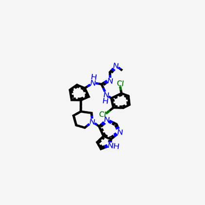 C/N=C\N=C(/Nc1cccc(C2CCCN(c3ncnc4[nH]ccc34)C2)c1)Nc1c(Cl)cccc1Cl